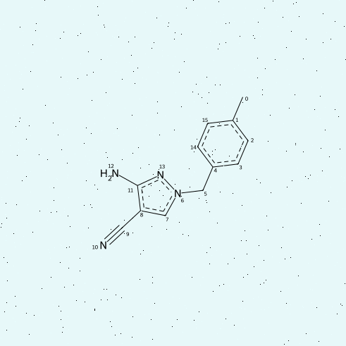 Cc1ccc(Cn2cc(C#N)c(N)n2)cc1